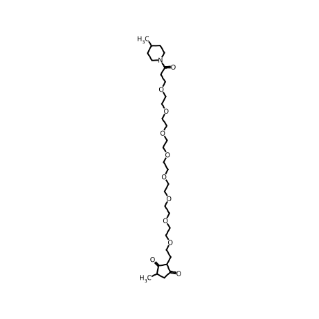 CC1CCN(C(=O)CCOCCOCCOCCOCCOCCOCCOCCOCCC2C(=O)CC(C)C2=O)CC1